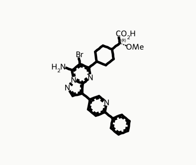 CO[C@@H](C(=O)O)C1CCC(c2nc3c(-c4ccc(-c5ccccc5)nc4)cnn3c(N)c2Br)CC1